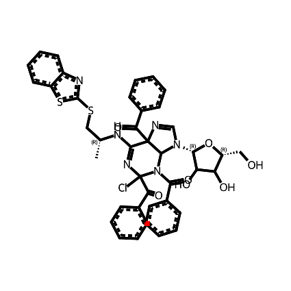 C[C@H](CSc1nc2ccccc2s1)NC1=NC(Cl)(C(=O)c2ccccc2)N(C(=O)c2ccccc2)C2N([C@@H]3O[C@H](CO)C(O)C3O)C=NC12C(=O)c1ccccc1